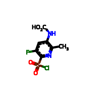 Cc1nc(S(=O)(=O)Cl)c(F)cc1NC(=O)O